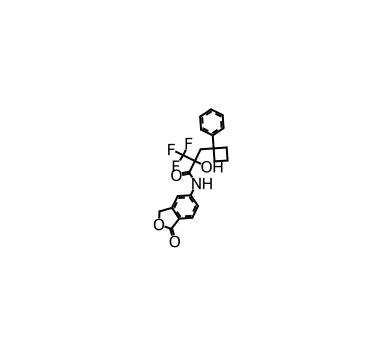 O=C1OCc2cc(NC(=O)C(O)(CC3(c4ccccc4)CCC3)C(F)(F)F)ccc21